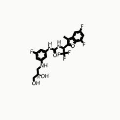 Cc1c(C(NC(=O)Nc2cc(F)cc(NC[C@@H](O)CO)c2)C(F)(F)F)oc2c(F)cc(F)cc12